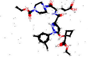 CCOC(=O)N1CCN(C(=O)[C@H](CCC(=O)O)NC(=O)c2cc(OC3(C(=O)OCC)CCC3)n(-c3cc(C)cc(C)c3)n2)CC1